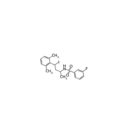 Cc1cccc(C)c1C(I)CC(C)NS(=O)(=O)c1cccc(F)c1